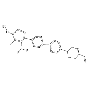 C=CC1CCC(c2ccc(-c3ccc(-c4ccc(OCC)c(F)c4C(F)F)cc3)cc2)CO1